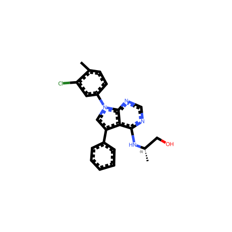 Cc1ccc(-n2cc(-c3ccccc3)c3c(N[C@@H](C)CO)ncnc32)cc1Cl